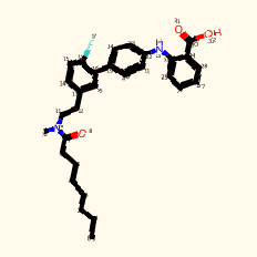 CCCCCCCC(=O)N(C)CCc1ccc(F)c(-c2ccc(Nc3ccccc3C(=O)O)cc2)c1